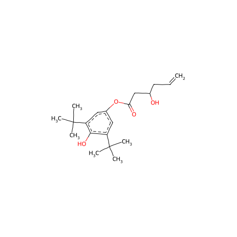 C=CCC(O)CC(=O)Oc1cc(C(C)(C)C)c(O)c(C(C)(C)C)c1